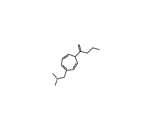 C=C(CCC)C1C=CC=C(CN(C)C)C=C1